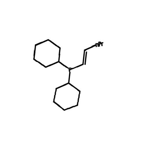 CCCC=CP(C1CCCCC1)C1CCCCC1